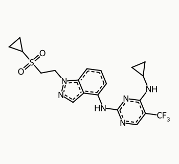 O=S(=O)(CCn1ncc2c(Nc3ncc(C(F)(F)F)c(NC4CC4)n3)cccc21)C1CC1